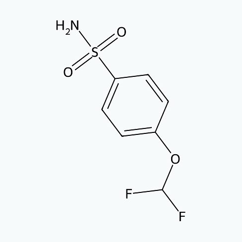 NS(=O)(=O)c1ccc(OC(F)F)cc1